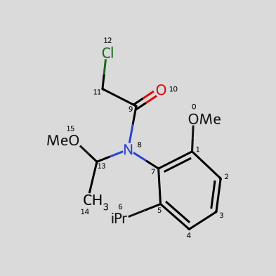 COc1cccc(C(C)C)c1N(C(=O)CCl)C(C)OC